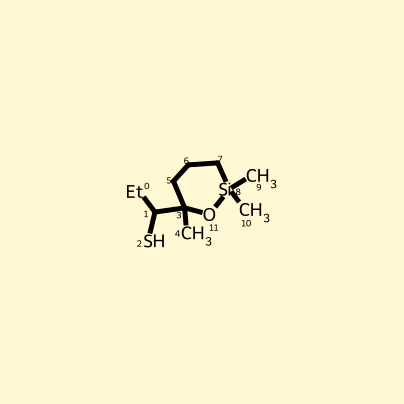 CCC(S)C1(C)CCC[Si](C)(C)O1